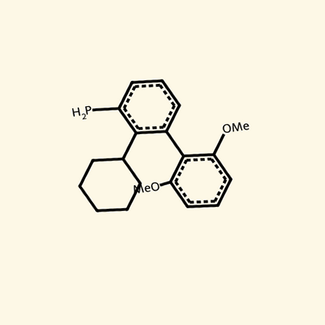 COc1cccc(OC)c1-c1cccc(P)c1C1CCCCC1